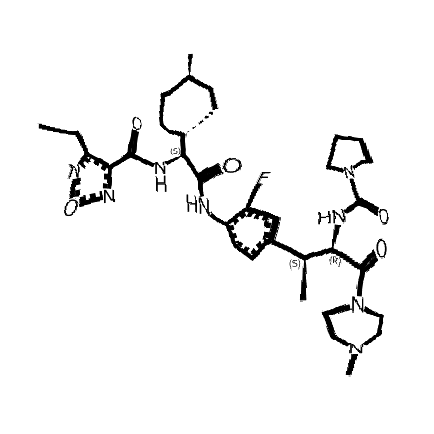 CCc1nonc1C(=O)N[C@H](C(=O)Nc1ccc([C@H](C)[C@@H](NC(=O)N2CCCC2)C(=O)N2CCN(C)CC2)cc1F)[C@H]1CC[C@H](C)CC1